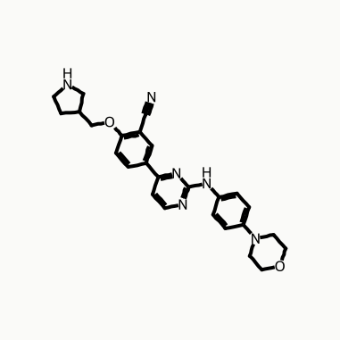 N#Cc1cc(-c2ccnc(Nc3ccc(N4CCOCC4)cc3)n2)ccc1OCC1CCNC1